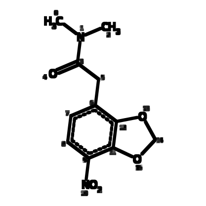 CN(C)C(=O)Cc1ccc([N+](=O)[O-])c2c1OCO2